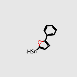 [SnH][c]1ccc(-c2ccccc2)o1